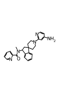 CN(C(=O)c1ccccn1)C1CC2(CCN(c3cc(N)ccn3)CC2)c2ccccc21